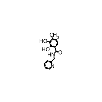 Cc1ccc(C(=O)NCc2ccccn2)c(O)c1O